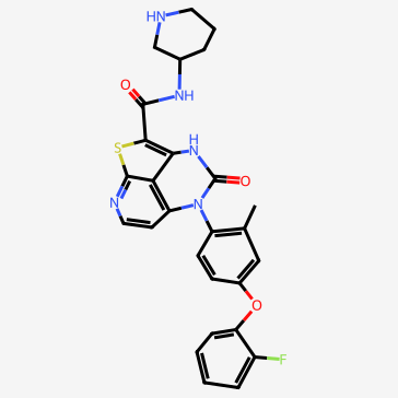 Cc1cc(Oc2ccccc2F)ccc1N1C(=O)Nc2c(C(=O)NC3CCCNC3)sc3nccc1c23